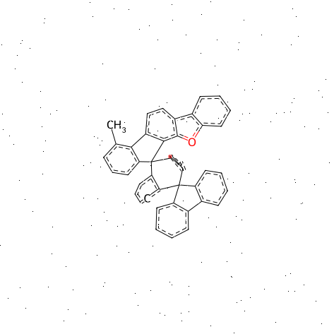 Cc1cccc2c1-c1ccc3c(oc4ccccc43)c1C21c2ccccc2C2(c3ccccc3-c3ccccc32)c2ccccc21